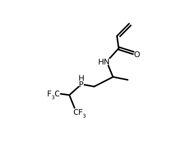 C=CC(=O)NC(C)CPC(C(F)(F)F)C(F)(F)F